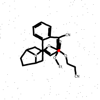 CCOP(=O)(OCCC#N)OC1CC2CCC(C1)N2c1ccc(C#N)c2ccccc12